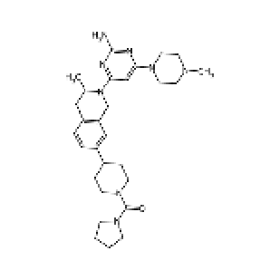 CC1Cc2ccc(C3CCN(C(=O)N4CCCC4)CC3)cc2CN1c1cc(N2CCN(C)CC2)nc(N)n1